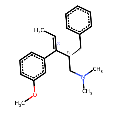 C/C=C(\c1cccc(OC)c1)[C@H](Cc1ccccc1)CN(C)C